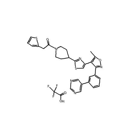 Cc1onc(-c2cccc(-c3cncnc3)c2)c1-c1csc(C2CCN(C(=O)Cc3cccs3)CC2)n1.O=C(O)C(F)(F)F